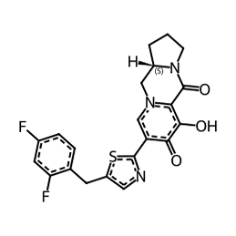 O=C1c2c(O)c(=O)c(-c3ncc(Cc4ccc(F)cc4F)s3)cn2C[C@@H]2CCCN12